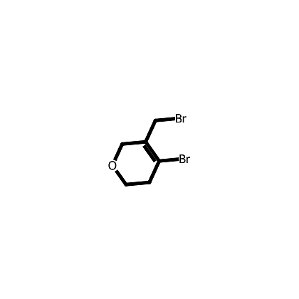 BrCC1=C(Br)CCOC1